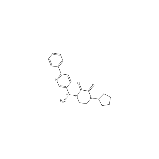 C[C@H](c1ccc(-c2ccccc2)nc1)N1CCN(C2CCCC2)C(=O)C1=O